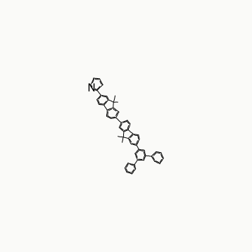 CC1(C)c2cc(-c3cc(-c4ccccc4)cc(-c4ccccc4)c3)ccc2-c2ccc(-c3ccc4c(c3)C(C)(C)c3cc(-c5ccccn5)ccc3-4)cc21